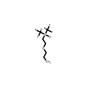 CCCOCC[Si](Cl)(C(F)(F)F)C(F)(F)F